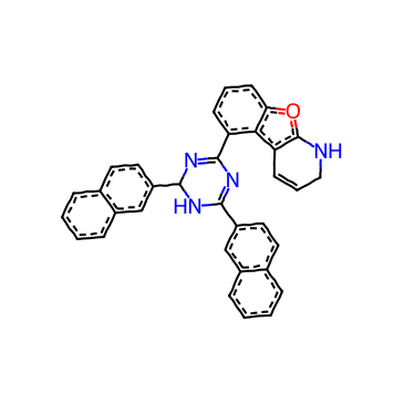 C1=Cc2c(oc3cccc(C4=NC(c5ccc6ccccc6c5)NC(c5ccc6ccccc6c5)=N4)c23)NC1